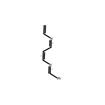 C=C\N=C/C=C\N=C\C(C)C